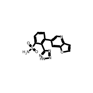 NS(=O)(=O)c1cccc(-c2cnc3ccoc3c2)c1-c1nn[nH]n1